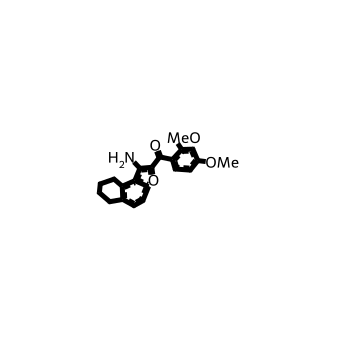 COc1ccc(C(=O)c2oc3ccc4c(c3c2N)CCCC4)c(OC)c1